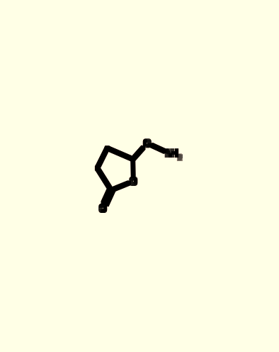 NOC1CCC(=O)O1